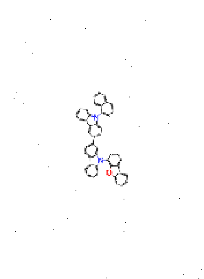 c1ccc2c(-n3c4ccccc4c4cc(-c5ccc6c7ccccc7n(-c7cccc8c7oc7ccccc78)c6c5)ccc43)cccc2c1